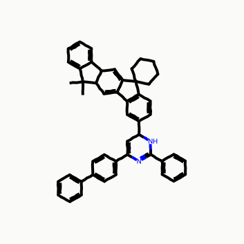 CC1(C)c2ccccc2C2C=C3C(=CC21)c1cc(C2C=C(c4ccc(-c5ccccc5)cc4)N=C(c4ccccc4)N2)ccc1C31CCCCC1